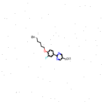 CCCCCCCCc1cnc(-c2ccc(OCCCCC[C@@H](C)CC)c(F)c2)nc1